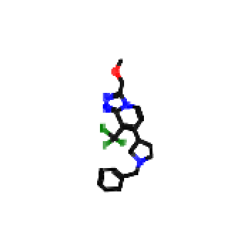 COCc1nnc2c(C(F)(F)F)c(C3CCN(Cc4ccccc4)C3)ccn12